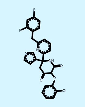 O=C1CC(c2ccsc2)(c2cccc(Cc3ccc(F)cc3F)n2)NC(=O)C1Sc1ccccc1Cl